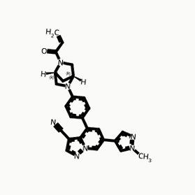 C=CC(=O)N1C[C@H]2C[C@@H]1CN2c1ccc(-c2cc(-c3cnn(C)c3)cn3ncc(C#N)c23)cc1